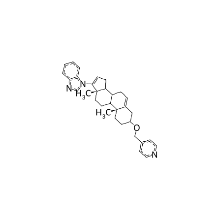 C[C@]12CCC(OCc3ccncc3)CC1=CCC1C2CC[C@]2(C)C(n3cnc4ccccc43)=CCC12